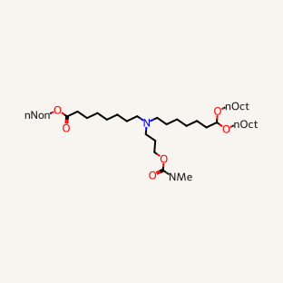 CCCCCCCCCOC(=O)CCCCCCCN(CCCCCCC(OCCCCCCCC)OCCCCCCCC)CCCOC(=O)NC